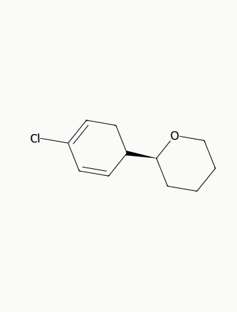 ClC1=CCC([C@@H]2CCCCO2)C=C1